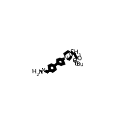 CC(C)(C)OC(=O)C[N+]1(C)CCN(c2ccc(-c3ccc(C=NN)cc3)cc2)CC1